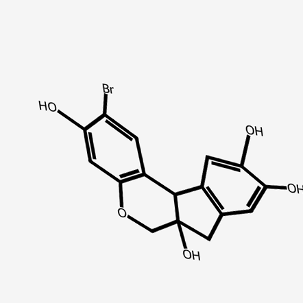 Oc1cc2c(cc1O)C1c3cc(Br)c(O)cc3OCC1(O)C2